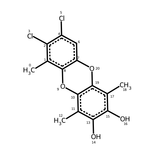 Cc1c(Cl)c(Cl)cc2c1Oc1c(C)c(O)c(O)c(C)c1O2